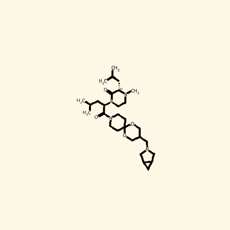 CC(C)CC(C(=O)N1CCC2(CC1)OCC(CN1CC3CC3C1)CO2)N1CCN(C)[C@@H](CC(C)C)C1=O